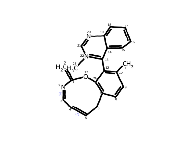 C=C1/N=C\C=C/Cc2ccc(C)c(-c3c4ccccc4nc[n+]3C)c2O1